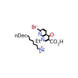 CCCCCCCCCCCCCCCC[N+](C)(C)C.CCn1cc(C(=O)O)c(=O)c2ccc(C)nc21.[Br-]